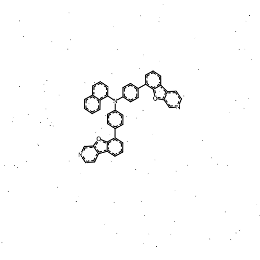 c1ccc2c(N(c3ccc(-c4cccc5c4oc4cnccc45)cc3)c3ccc(-c4cccc5c4oc4cnccc45)cc3)cccc2c1